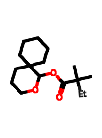 CCC(C)(C)C(=O)OC1OCCCC12CCCCC2